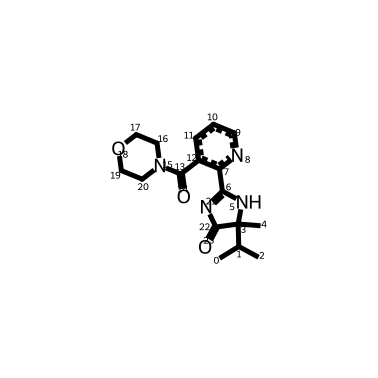 CC(C)C1(C)NC(c2ncccc2C(=O)N2CCOCC2)=NC1=O